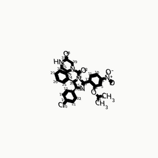 CC(C)Oc1cc([N+](=O)[O-])ccc1C1=N[C@@H](c2ccc(Cl)cc2)[C@@H](c2ccccc2)N1C(=O)N1CCNC(=O)C1